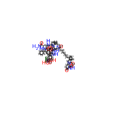 NC(=O)CC[C@H](NC(=O)[C@@H]1CC[C@@H]2CCN(C(=O)CCCCCCCc3cccc4c3CN(C3CCC(=O)NC3=O)C4=O)C[C@H](NC(=O)c3cc4cc(C(F)(F)P(=O)(O)O)ccc4[nH]3)C(=O)N21)C(=O)NC(c1ccccc1)c1ccccc1